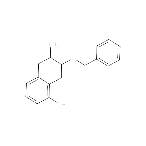 NC1Cc2cccc(O)c2CC1OCc1ccccc1